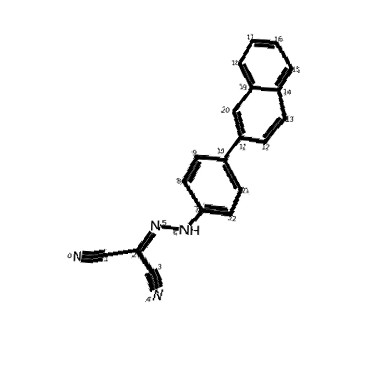 N#CC(C#N)=NNc1ccc(-c2ccc3ccccc3c2)cc1